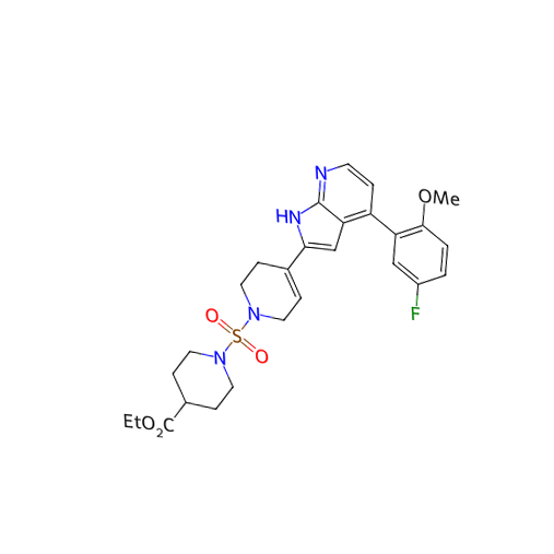 CCOC(=O)C1CCN(S(=O)(=O)N2CC=C(c3cc4c(-c5cc(F)ccc5OC)ccnc4[nH]3)CC2)CC1